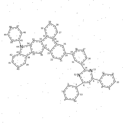 c1ccc(-c2cc(-c3ccccc3)nc(-c3cccc(-c4ccc5c(c4)c4ccccc4c4cc6c(cc54)c4ccccc4n6-c4ccccc4)c3)n2)cc1